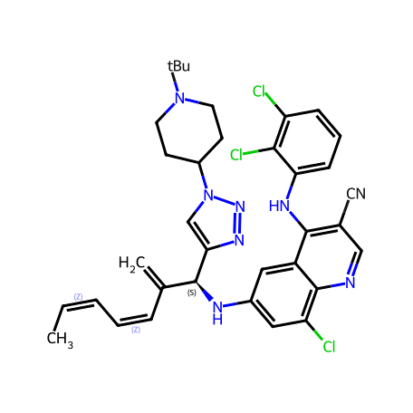 C=C(/C=C\C=C/C)[C@H](Nc1cc(Cl)c2ncc(C#N)c(Nc3cccc(Cl)c3Cl)c2c1)c1cn(C2CCN(C(C)(C)C)CC2)nn1